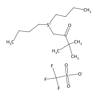 CCCC[S+](CCCC)CC(=O)C(C)(C)C.O=S(=O)([O-])C(F)(F)F